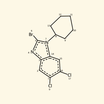 Clc1cc2nc(Br)n(C3[CH][CH]CCC3)c2cc1Cl